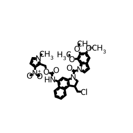 COc1cc2ccn(C(=O)N3CC(CCl)c4c3cc(NC(=O)OCc3c([N+](=O)[O-])ccn3C)c3ccccc43)c2c(OC)c1OC